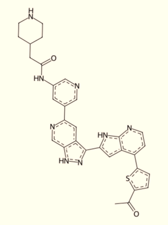 CC(=O)c1ccc(-c2ccnc3[nH]c(-c4n[nH]c5cnc(-c6cncc(NC(=O)CC7CCNCC7)c6)cc45)cc23)s1